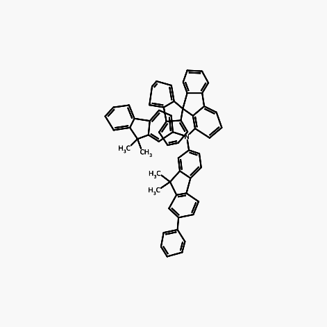 CC1(C)c2ccccc2-c2ccc(N(c3ccc4c(c3)C(C)(C)c3cc(-c5ccccc5)ccc3-4)c3cccc4c3C3(c5ccccc5-c5ccccc53)c3ccccc3-4)cc21